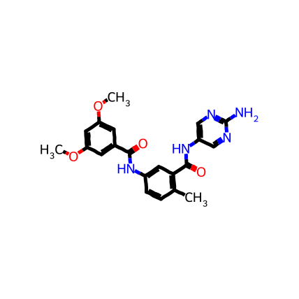 COc1cc(OC)cc(C(=O)Nc2ccc(C)c(C(=O)Nc3cnc(N)nc3)c2)c1